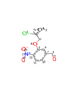 C=C(Cl)COc1cc(C=O)ccc1[N+](=O)[O-]